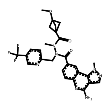 COC12CC(C(=O)N(C)N(Cc3ccc(C(F)(F)F)cn3)C(=O)c3ccc4nc(N)c5cnn(C)c5c4c3)(C1)C2